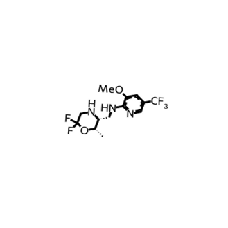 COc1cc(C(F)(F)F)cnc1NC[C@H]1NCC(F)(F)O[C@H]1C